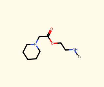 CCNCCOC(=O)CN1CCCCC1